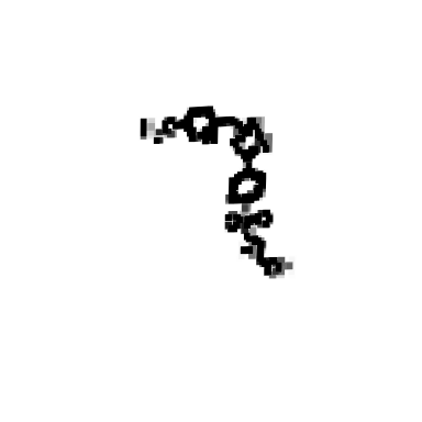 Cc1ccc(Cn2nnc(-c3ccc(S(=O)(=O)NCCO)cc3)n2)nc1